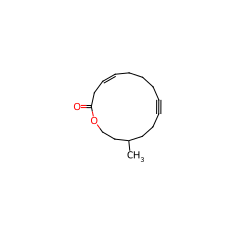 CC1CCC#CCCCC=CCC(=O)OCC1